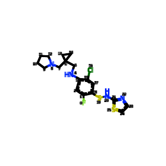 Fc1cc(NCC2(CN3CCCC3)CC2)c(Cl)cc1SNc1nccs1